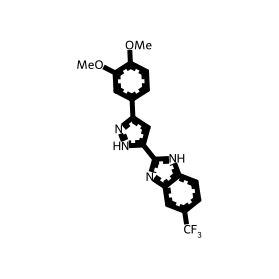 COc1ccc(-c2cc(-c3nc4cc(C(F)(F)F)ccc4[nH]3)[nH]n2)cc1OC